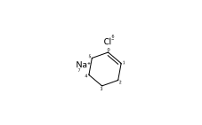 C1=CCCCC1.[Cl-].[Na+]